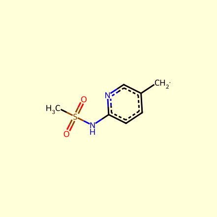 [CH2]c1ccc(NS(C)(=O)=O)nc1